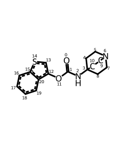 O=C(NC12CCN(CC1)CC2)Oc1csc2ccccc12